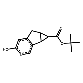 CC(C)(C)OC(=O)C1C2Cc3cc(O)ncc3C21